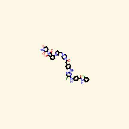 O=C1CCC(N2C(=O)c3cccc(N4CCC(CN5CCN(C(=O)Cc6ccc(Nc7ncc(F)c(Nc8ccc(C(=O)Nc9ccccc9Cl)cc8)n7)cc6)CC5)C4)c3C2=O)C(=O)N1